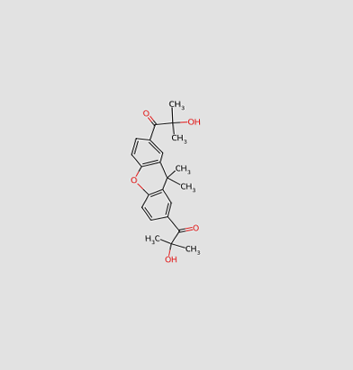 CC(C)(O)C(=O)c1ccc2c(c1)C(C)(C)c1cc(C(=O)C(C)(C)O)ccc1O2